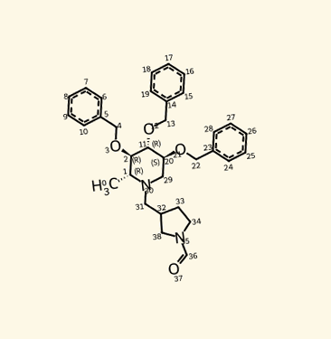 C[C@@H]1[C@@H](OCc2ccccc2)[C@H](OCc2ccccc2)[C@@H](OCc2ccccc2)CN1CC1CCN(C=O)C1